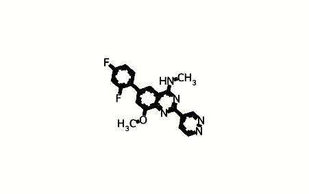 CNc1nc(-c2ccnnc2)nc2c(OC)cc(-c3ccc(F)cc3F)cc12